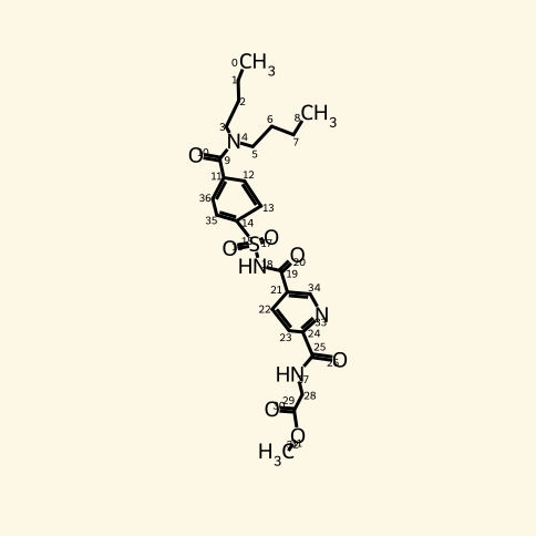 CCCCN(CCCC)C(=O)c1ccc(S(=O)(=O)NC(=O)c2ccc(C(=O)NCC(=O)OC)nc2)cc1